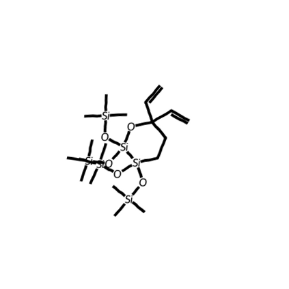 C=CC1(C=C)CC[Si](O[Si](C)(C)C)(O[Si](C)(C)C)[Si](O[Si](C)(C)C)(O[Si](C)(C)C)O1